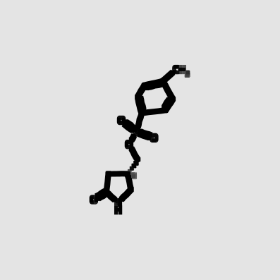 Cc1ccc(S(=O)(=O)OC[C@@H]2CNC(=O)C2)cc1